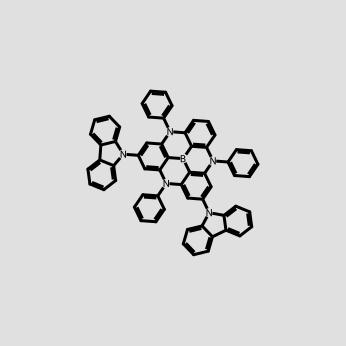 c1ccc(N2c3cccc4c3B3c5c2cc(-n2c6ccccc6c6ccccc62)cc5N(c2ccccc2)c2cc(-n5c6ccccc6c6ccccc65)cc(c23)N4c2ccccc2)cc1